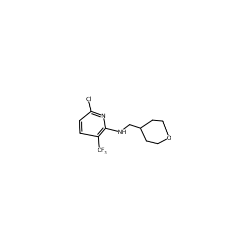 FC(F)(F)c1ccc(Cl)nc1NCC1CCOCC1